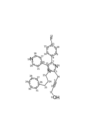 OCC#CCc1nc(-c2ccc(F)cc2)c(-c2ccncc2)n1CCCc1ccccc1